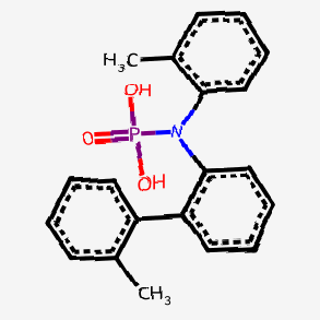 Cc1ccccc1-c1ccccc1N(c1ccccc1C)P(=O)(O)O